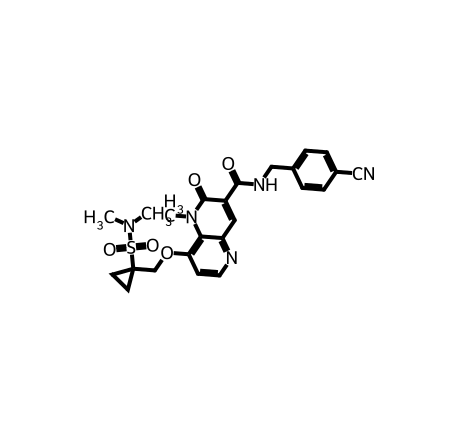 CN(C)S(=O)(=O)C1(COc2ccnc3cc(C(=O)NCc4ccc(C#N)cc4)c(=O)n(C)c23)CC1